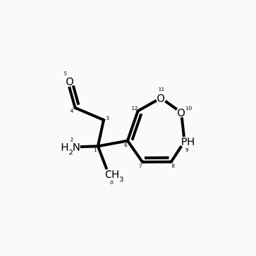 CC(N)(CC=O)c1cc[pH]ooc1